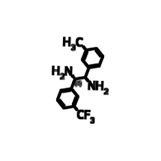 Cc1cccc(C(N)[C@H](N)c2cccc(C(F)(F)F)c2)c1